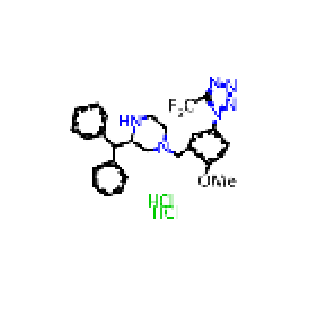 COc1ccc(-n2nnnc2C(F)(F)F)cc1CN1CCNC(C(c2ccccc2)c2ccccc2)C1.Cl.Cl